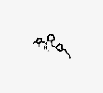 CCCCc1ccc(Cc2ccccc2[SiH2]C2=C(C)C(C)=CC2)cc1